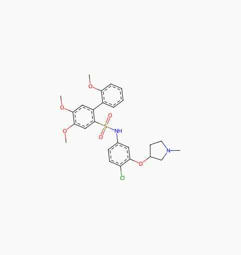 COc1cc(-c2ccccc2OC)c(S(=O)(=O)Nc2ccc(Cl)c(OC3CCN(C)C3)c2)cc1OC